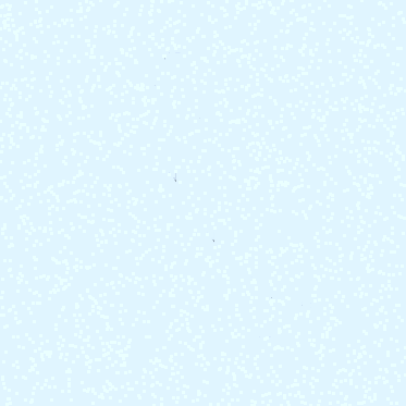 CC1(C)CCN(c2ccccc2N2C=C(C(=O)C(F)(F)F)C(C)(C)CC2)C=C1C(=O)C(F)(F)F